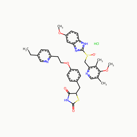 CCc1ccc(CCOc2ccc(CC3SC(=O)NC3=O)cc2)nc1.COc1ccc2[nH]c([S+]([O-])Cc3ncc(C)c(OC)c3C)nc2c1.Cl